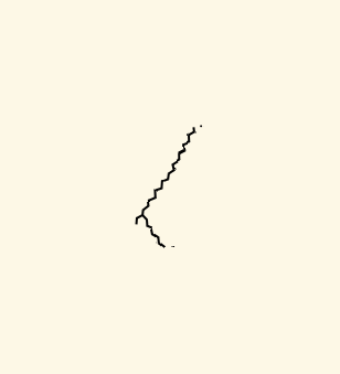 [CH2]CCCCC=CCCCCCCCCCCCCC(CC)CCCCCC[CH2]